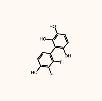 Oc1ccc(O)c(-c2ccc(O)c(F)c2F)c1O